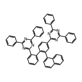 c1ccc(-c2nc(-c3ccccc3)nc(-c3ccc(-c4ccccc4-c4nc(-c5ccccc5)nc(-c5ccccc5)n4)c(-c4cccc5ccccc45)c3)n2)cc1